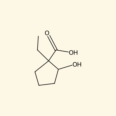 CCC1(C(=O)O)CCCC1O